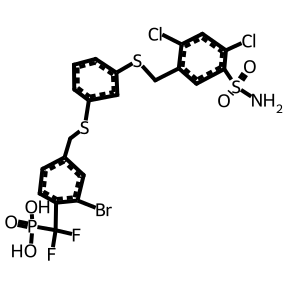 NS(=O)(=O)c1cc(CSc2cccc(SCc3ccc(C(F)(F)P(=O)(O)O)c(Br)c3)c2)c(Cl)cc1Cl